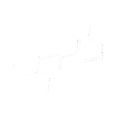 CCOc1ncc(-c2ccnc(C)n2)cc1C